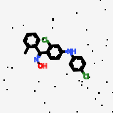 Cc1ccccc1C(=NO)c1ccc(Nc2ccc(Cl)cc2)cc1Cl